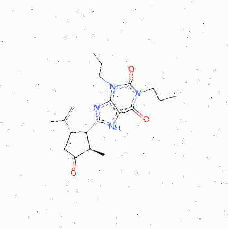 C=C(C)[C@H]1CC(=O)[C@H](C)[C@H]1c1nc2c([nH]1)c(=O)n(CCC)c(=O)n2CCC